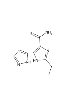 CCc1nc(C(N)=S)c[nH]1.c1cn[nH]c1